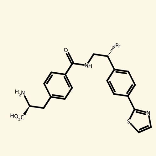 CC(C)[C@@H](CNC(=O)c1ccc(C[C@H](N)C(=O)O)cc1)c1ccc(-c2nccs2)cc1